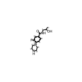 CC(O)CNC(=O)c1ccc(N2CCNCC2)c(F)c1